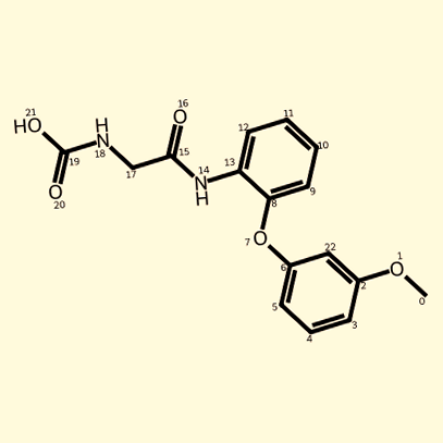 COc1cccc(Oc2ccccc2NC(=O)CNC(=O)O)c1